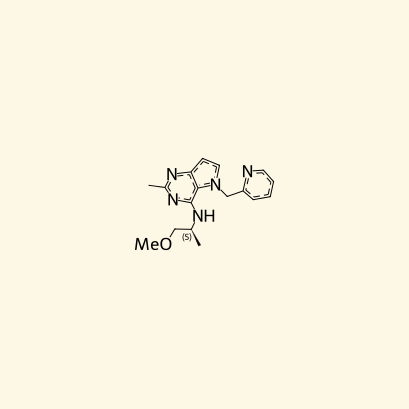 COC[C@H](C)Nc1nc(C)nc2ccn(Cc3ccccn3)c12